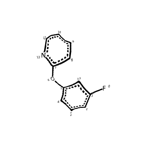 Fc1cccc(Oc2ccc[c]n2)c1